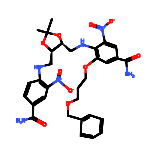 CC1(C)O[C@H](CNc2ccc(C(N)=O)cc2[N+](=O)[O-])[C@@H](CNc2c(OCCCOCc3ccccc3)cc(C(N)=O)cc2[N+](=O)[O-])O1